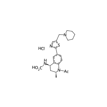 CC(=O)N1c2ccc(-c3ncc(CN4CCCCC4)s3)cc2[C@H](NC(=O)O)C[C@@H]1C.Cl